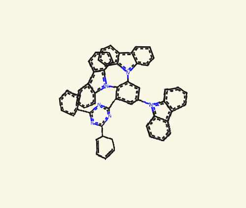 C1=CCC(c2nc(-c3ccccc3)nc(-c3cc(-n4c5ccccc5c5ccccc54)cc(-n4c5ccccc5c5ccccc54)c3-n3c4ccccc4c4ccccc43)n2)C=C1